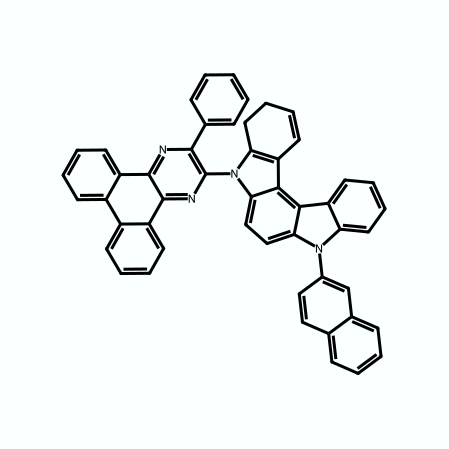 C1=Cc2c(n(-c3nc4c5ccccc5c5ccccc5c4nc3-c3ccccc3)c3ccc4c(c5ccccc5n4-c4ccc5ccccc5c4)c23)CC1